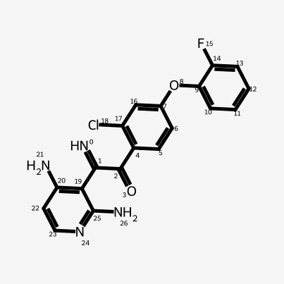 N=C(C(=O)c1ccc(Oc2ccccc2F)cc1Cl)c1c(N)ccnc1N